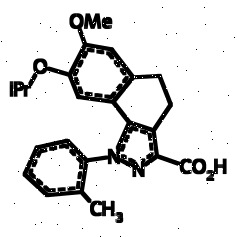 COc1cc2c(cc1OC(C)C)-c1c(c(C(=O)O)nn1-c1ccccc1C)CC2